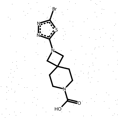 O=C(O)N1CCC2(CC1)CN(c1nnc(Br)s1)C2